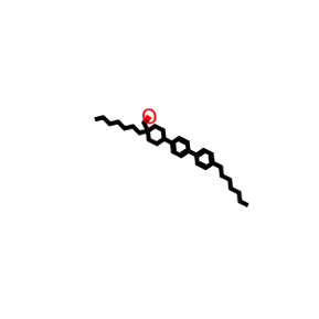 CCCCCCCc1ccc(-c2ccc(C3CCC(C=O)(CCCCCCC)CC3)cc2)cc1